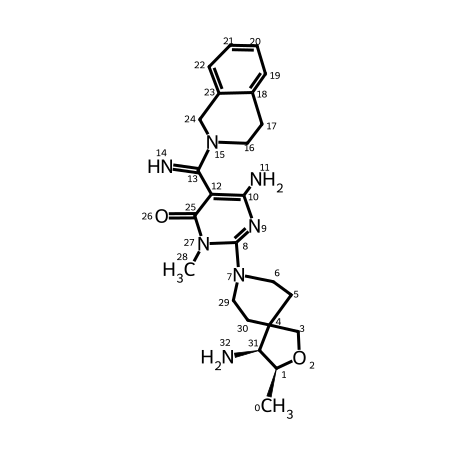 C[C@@H]1OCC2(CCN(c3nc(N)c(C(=N)N4CCc5ccccc5C4)c(=O)n3C)CC2)[C@@H]1N